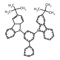 CC(C)(C)C1=CC2c3ccccc3N(c3cc(-c4ccccc4)cc(-n4c5ccccc5c5cc(C(C)(C)C)ccc54)c3)C2C=C1